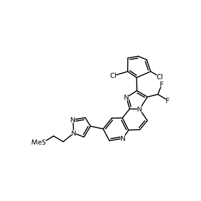 CSCCn1cc(-c2cnc3ccn4c(C(F)F)c(-c5c(Cl)cccc5Cl)nc4c3c2)cn1